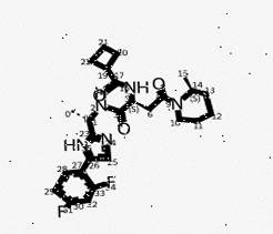 C[C@H](NC(=O)[C@H](CC(=O)N1CCCC[C@@H]1C)NC(=O)C1CCC1)c1ncc(-c2ccc(F)cc2F)[nH]1